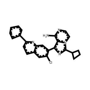 Nc1nccn2c(C3CCC3)nc(-c3cc4nc(-c5ccccc5)ccc4cc3Cl)c12